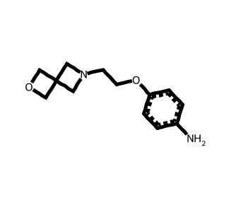 Nc1ccc(OCCN2CC3(COC3)C2)cc1